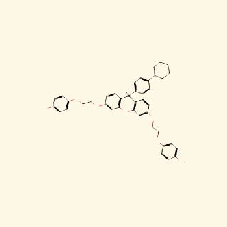 CC1(c2ccc(C3CCCCC3)cc2)c2ccc(OCCOc3ccc(O)cc3)cc2Oc2cc(OCCOc3ccc(O)cc3)ccc21